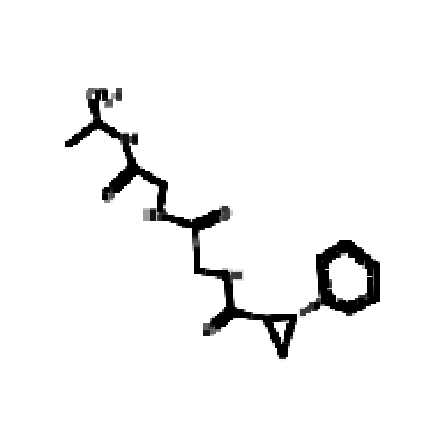 C[C@H](NC(=O)CNC(=O)CNC(=O)[C@@H]1C[C@H]1c1ccccc1)C(=O)O